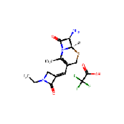 N[C@@H]1C(=O)N2C(C(=O)O)=C(C=C3CN(CC(F)(F)F)C3=O)CS[C@H]12.O=C(O)C(F)(F)F